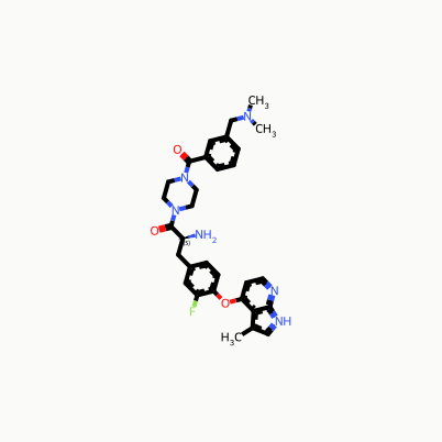 Cc1c[nH]c2nccc(Oc3ccc(C[C@H](N)C(=O)N4CCN(C(=O)c5cccc(CN(C)C)c5)CC4)cc3F)c12